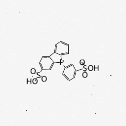 O=S(=O)(O)c1cccc(-p2c3ccccc3c3ccc(S(=O)(=O)O)cc32)c1